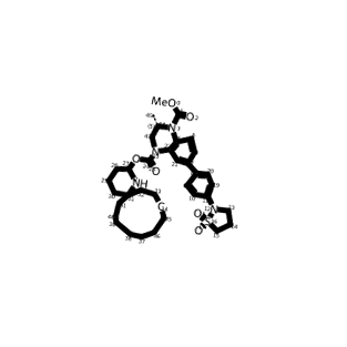 COC(=O)N1c2ccc(-c3ccc(N4CCCS4(=O)=O)cc3)cc2N(C(=O)OC2CCCC3(CCCCCCCCCC3)N2)C[C@@H]1C